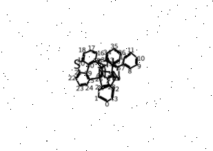 c1ccc(-c2nc(-c3ccccc3)nc(-c3cccc4sc5cccc(-c6cccc7c6sc6ccccc67)c5c34)n2)cc1